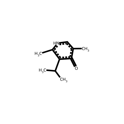 Cc1[nH]cc(C)c(=O)c1C(C)C